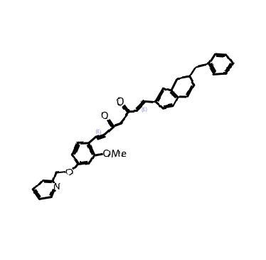 COc1cc(OCc2ccccn2)ccc1/C=C/C(=O)CC(=O)/C=C/c1ccc2c(c1)CC(Cc1ccccc1)C=C2